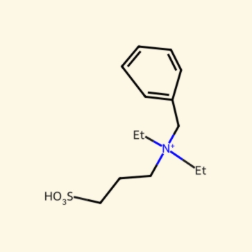 CC[N+](CC)(CCCS(=O)(=O)O)Cc1ccccc1